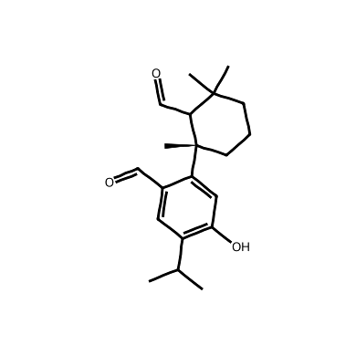 CC(C)c1cc(C=O)c([C@@]2(C)CCCC(C)(C)C2C=O)cc1O